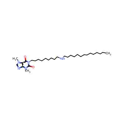 CCCCCCCCCCCCCCNCCCCCCCCCn1c(=O)c2c(ncn2C)n(C)c1=O